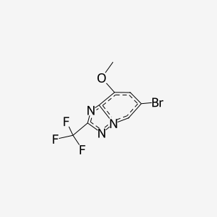 COc1cc(Br)cn2nc(C(F)(F)F)nc12